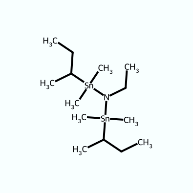 CC[CH](C)[Sn]([CH3])([CH3])[N](CC)[Sn]([CH3])([CH3])[CH](C)CC